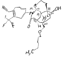 CCCCOC[C@@]12C[C@H](O)[C@]3(CCO[C@H]4[C@@H]3[C@@H]1C(=O)N4c1ccc(C#N)c(C(F)(F)F)c1)O2